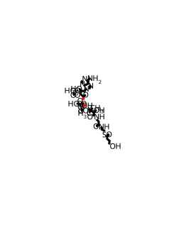 CC(C)(COP(=O)(O)OP(=O)(O)OCC1OC(n2cnc3c(N)ncnc32)C(O)C1OP(=O)(O)O)C(O)C(=O)NCCC(=O)NCCSC(=O)CCCO